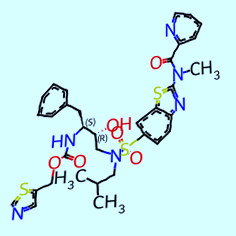 CC(C)CN(C[C@@H](O)[C@H](Cc1ccccc1)NC(=O)OCc1cncs1)S(=O)(=O)c1ccc2nc(N(C)C(=O)c3ccccn3)sc2c1